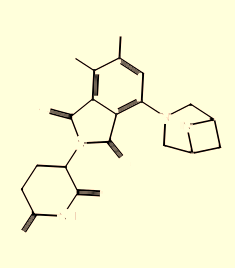 O=C1CCC(N2C(=O)c3c(N4CC5CC(C4)N5)cc(F)c(F)c3C2=O)C(=O)N1